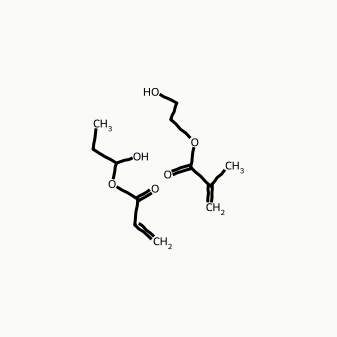 C=C(C)C(=O)OCCO.C=CC(=O)OC(O)CC